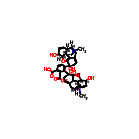 CN1CC[C@]23C4=C5O[C@H]2[C@@H](O)C=C[C@H]3[C@H]1CC4=CCC5(O)c1ccc(C(=O)O)c(C(=O)O)c1C1(O)CC=C2C[C@@H]3[C@@H]4C=C[C@H](O)[C@@H]5OC1=C2[C@]45CCN3C